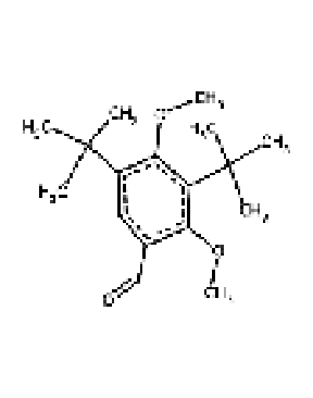 COc1c(C=O)cc(C(C)(C)C)c(OC)c1C(C)(C)C